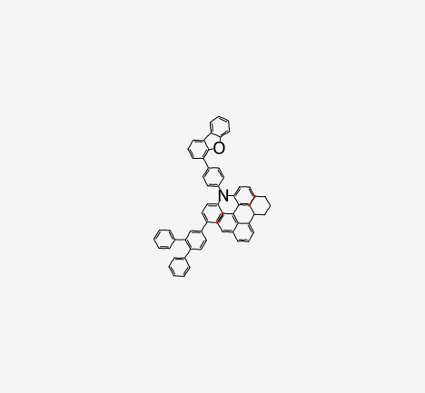 c1ccc(-c2ccc(-c3ccc(N(c4ccc(-c5cccc6c5oc5ccccc56)cc4)c4ccccc4-c4cccc5cccc(C6CCCCC6)c45)cc3)cc2-c2ccccc2)cc1